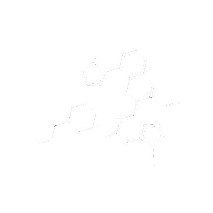 CC(C)c1cnc2c(N(Cc3ccccc3-n3cccn3)C(=O)OC(C)(C)C)nc(SC3CCCN(C(=O)OC(C)(C)C)C3)cn12